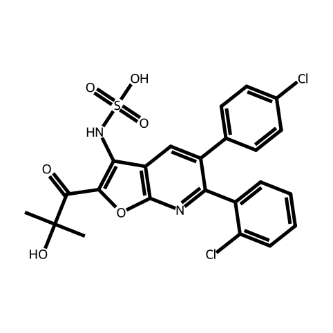 CC(C)(O)C(=O)c1oc2nc(-c3ccccc3Cl)c(-c3ccc(Cl)cc3)cc2c1NS(=O)(=O)O